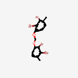 Cc1ccc(OCOc2ccc(C)c(Br)c2Br)c(Br)c1Br